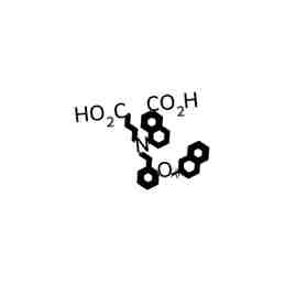 O=C(O)CCCCN(CCc1ccccc1OC[C@@H]1CCc2ccccc2C1)C1CCCc2cc(C(=O)O)ccc21